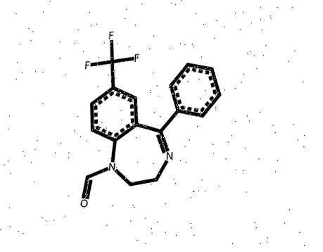 O=CN1CCN=C(c2ccccc2)c2cc(C(F)(F)F)ccc21